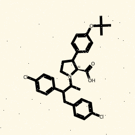 CC(C(Cc1ccc(Cl)cc1)c1ccc(Cl)cc1)N1CCC(c2ccc(OC(C)(C)C)cc2)[C@H]1C(=O)O